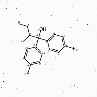 CCC(C)C(O)(c1ccc(F)cc1)c1ccc(F)cc1